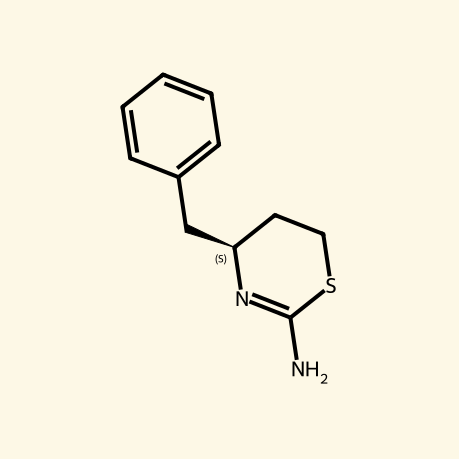 NC1=N[C@@H](Cc2ccccc2)CCS1